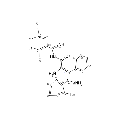 N=C(NC(=O)/C(N)=C(\C1=CC=CNC1)N(N)c1ccccc1F)c1cc(F)ccc1F